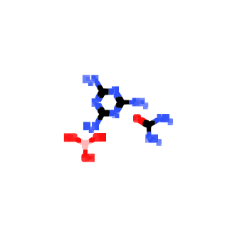 NC(N)=O.Nc1nc(N)nc(N)n1.OB(O)O